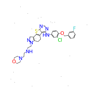 Fc1cccc(COc2ccc(Nc3ncnc4sc5c(c34)CCc3c-5cnn3CCNCCN3CCOCC3)cc2Cl)c1